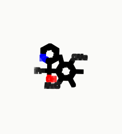 COc1c(C)c(C)c(OC)c(C(O)(c2ccccn2)C(C)C)c1C